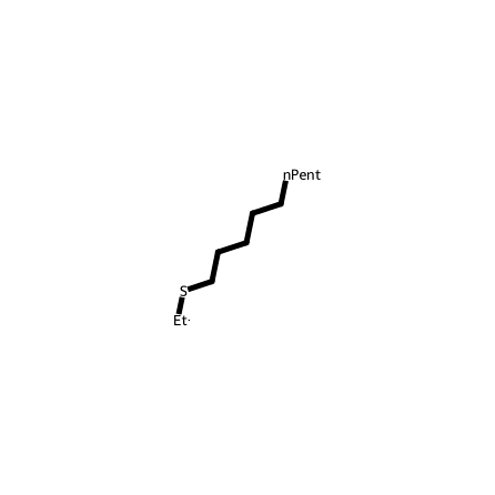 C[CH]SCCCCCCCCCC